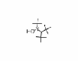 CC(C)(C)C(N(O)C(C)(C)C)C(C)(C)C